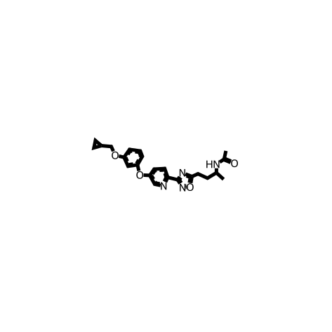 CC(=O)NC(C)CCc1nc(-c2ccc(Oc3cccc(OCC4CC4)c3)cn2)no1